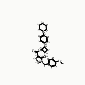 COc1ccc(Cn2nnc(C(=O)O)c2S[C@H]2C[C@H](c3ccc(N4CCCCC4)cc3)C2)cc1